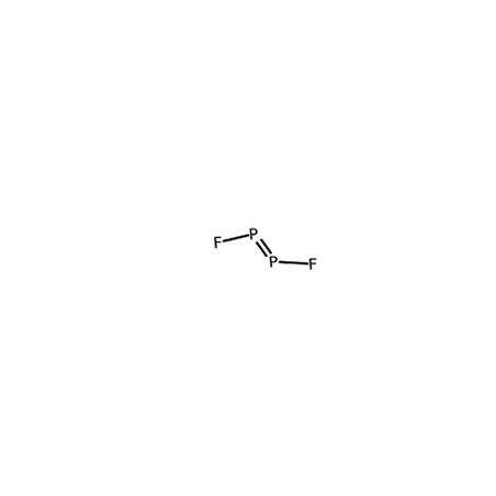 FP=PF